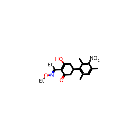 CCON=C(CC)C1=C(O)CC(c2c(C)cc(C)c([N+](=O)[O-])c2C)CC1=O